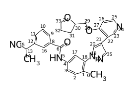 Cc1ccc(NC(=O)c2cccc(C(C)C#N)c2)cc1-n1cc(-c2cnccc2OCC2CCCO2)cn1